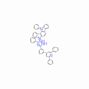 N=C(/N=C(\Nn1c2ccccc2c2c1ccc1c3ccccc3n(-c3ccccc3)c12)c1ccccc1)c1cccc(-c2cc(-c3ccccc3)nc(-c3ccccc3)c2)c1